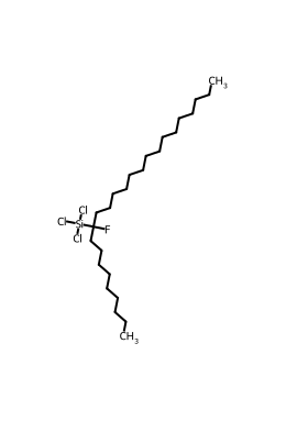 CCCCCCCCCCCCCCCC(F)(CCCCCCCCC)[Si](Cl)(Cl)Cl